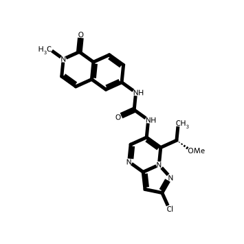 CO[C@@H](C)c1c(NC(=O)Nc2ccc3c(=O)n(C)ccc3c2)cnc2cc(Cl)nn12